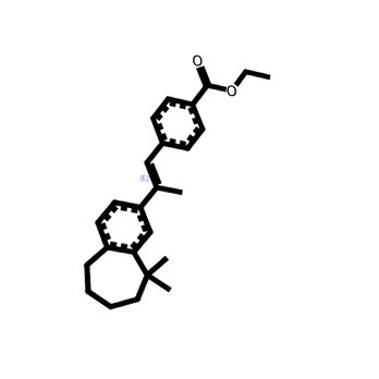 CCOC(=O)c1ccc(/C=C(\C)c2ccc3c(c2)C(C)(C)CCCC3)cc1